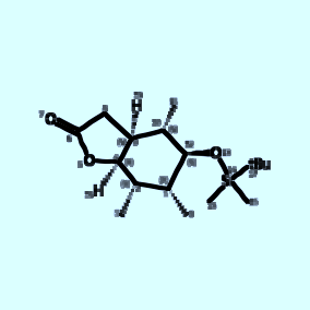 C[C@@H]1[C@H](C)[C@H]2OC(=O)C[C@H]2[C@H](C)[C@H]1O[Si](C)(C)C(C)(C)C